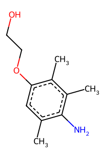 Cc1cc(OCCO)c(C)c(C)c1N